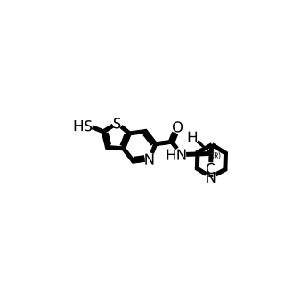 O=C(N[C@H]1CN2CCC1CC2)c1cc2sc(S)cc2cn1